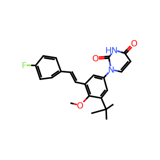 COc1c(C=Cc2ccc(F)cc2)cc(-n2ccc(=O)[nH]c2=O)cc1C(C)(C)C